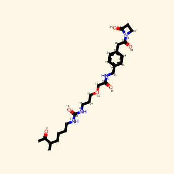 CC(=O)C(C)CCCCNC(=O)NCCCOCC(=O)NCc1ccc(CC(=O)N2CCC2=O)cc1